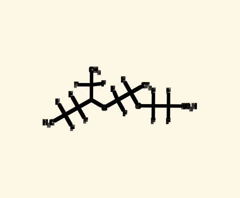 CC(F)(F)C(OC(F)(F)C(F)(OC(F)(F)C(F)(F)S(=O)(=O)O)C(F)(F)F)C(F)(F)C(C)(F)F